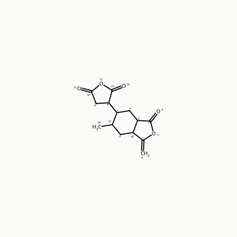 C=C1OC(=O)C2CC(C3CC(=O)OC3=O)C(C)CC12